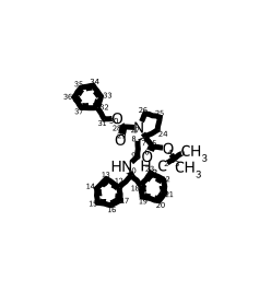 CC(C)(C)OC(=O)[C@]1(CCNC(c2ccccc2)c2ccccc2)CCCN1C(=O)OCc1ccccc1